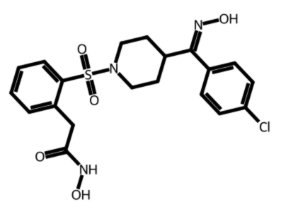 O=C(Cc1ccccc1S(=O)(=O)N1CCC(C(=NO)c2ccc(Cl)cc2)CC1)NO